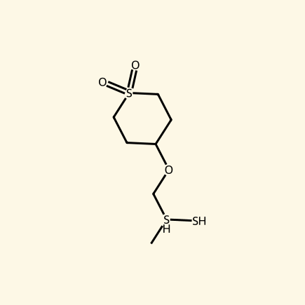 C[SH](S)COC1CCS(=O)(=O)CC1